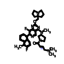 Cc1c(F)ccc2c(-c3ncc4c(N(C)C5CCN(C(=O)/C=C/CN(C)C)C5)nc(OCC56CCCN5CCC6)nc4c3F)cccc12